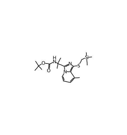 Cc1cccn2c(C(C)(C)NC(=O)OC(C)(C)C)nc(SC[Si](C)(C)C)c12